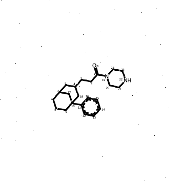 O=C(CCC1CC2CCCC(c3ccccc3)(C2)C1)N1CCNCC1